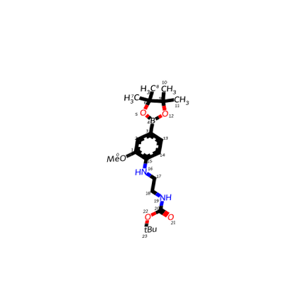 COc1cc(B2OC(C)(C)C(C)(C)O2)ccc1NCCNC(=O)OC(C)(C)C